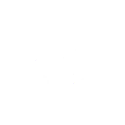 CNC1CCN(C(=O)c2ccc(Nc3ncc4c(n3)C3=CN=C(Cl)C=C(c5c(F)cccc5F)C3=CC4)cc2Cl)CC1